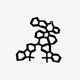 CC1(C)c2ccccc2-c2ccc(N(c3ccc4c(c3)C(C)(C)c3ccccc3-4)c3cccc4c3-c3ccccc3C43c4ccccc4Oc4cc5ccccc5cc43)cc21